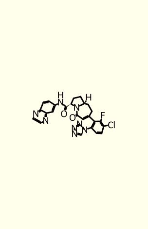 O=C(Nc1ccc2nccnc2c1)[C@@H]1CC[C@@H]2CCC(c3c(-n4cnnn4)ccc(Cl)c3F)=CC(=O)N21